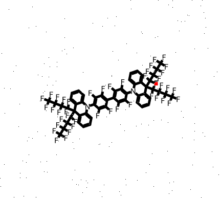 Fc1c(F)c(N2c3ccccc3C(C(F)(F)C(F)(F)C(F)(F)C(F)(F)F)(C(F)(F)C(F)(F)C(F)(F)C(F)(F)F)c3ccccc32)c(F)c(F)c1-c1c(F)c(F)c(N2c3ccccc3C(C(F)(F)C(F)(F)C(F)(F)C(F)(F)F)(C(F)(F)C(F)(F)C(F)(F)C(F)(F)F)c3ccccc32)c(F)c1F